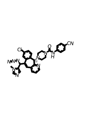 Cn1cncc1C(N=[N+]=[N-])C1=Cc2cccnc2[C@@H](N2CCN(C(=O)Nc3ccc(C#N)cc3)CC2)c2ccc(Cl)cc21